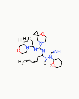 C=C/C=C\CC(N=C(/N=C(\CC)N1CCOC[C@@H]1C)N1CCOC2(CC2)C1)N(C)N(C=N)C1CCCCO1